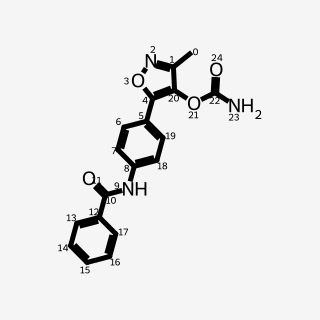 Cc1noc(-c2ccc(NC(=O)c3ccccc3)cc2)c1OC(N)=O